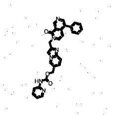 O=C(Nc1ccccn1)OCc1ccc2nc(Cn3ccc4c(-c5ccccc5)cncc4c3=O)cn2c1